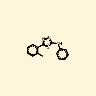 Cc1ccccc1-c1nnc(Nc2ccccc2)s1